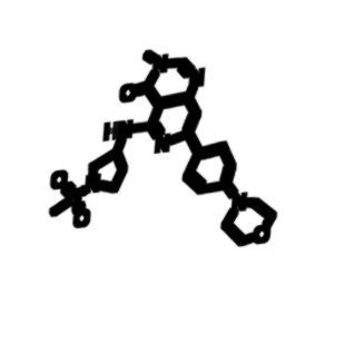 Cn1cnc2cc(-c3ccc(N4CCOCC4)cc3)nc(NC3CCN(S(C)(=O)=O)C3)c2c1=O